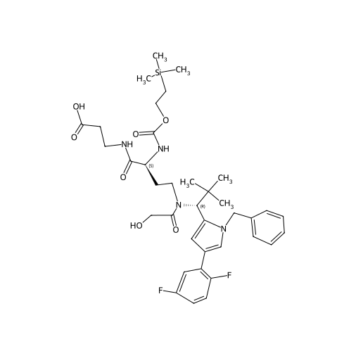 CC(C)(C)[C@H](c1cc(-c2cc(F)ccc2F)cn1Cc1ccccc1)N(CC[C@H](NC(=O)OCC[Si](C)(C)C)C(=O)NCCC(=O)O)C(=O)CO